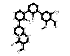 COc1cc(-c2cccc(-c3cccc(-c4ccn5c(=O)c(C=O)cnc5c4)c3Cl)c2Cl)cc(O)c1C=O